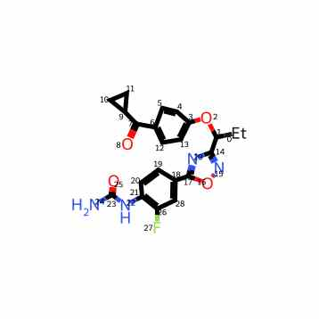 CCC(Oc1ccc(C(=O)C2CC2)cc1)c1noc(-c2ccc(NC(N)=O)c(F)c2)n1